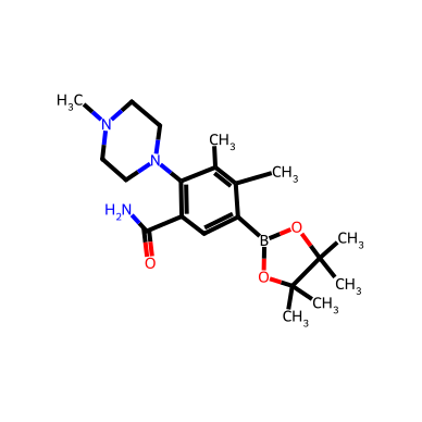 Cc1c(B2OC(C)(C)C(C)(C)O2)cc(C(N)=O)c(N2CCN(C)CC2)c1C